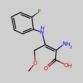 COC/C(Nc1ccccc1F)=C(/N)C(=O)O